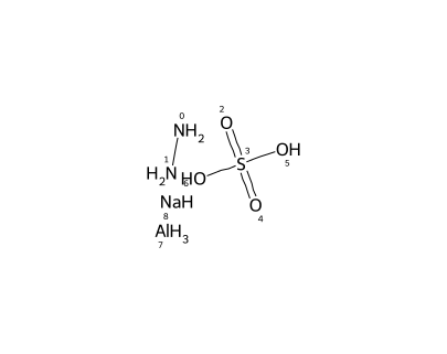 NN.O=S(=O)(O)O.[AlH3].[NaH]